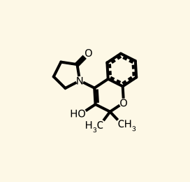 CC1(C)Oc2ccccc2C(N2CCCC2=O)=C1O